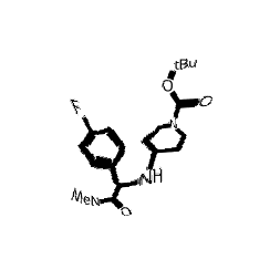 CNC(=O)C(NC1CCN(C(=O)OC(C)(C)C)CC1)c1ccc(F)cc1